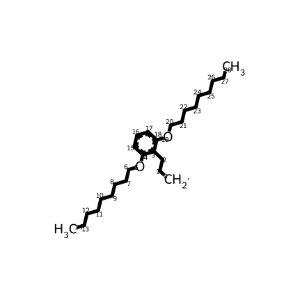 [CH2]CCc1c(OCCCCCCCCC)cccc1OCCCCCCCCC